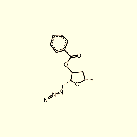 C[C@H]1CC(OC(=O)c2ccccc2)[C@@H](CN=[N+]=[N-])O1